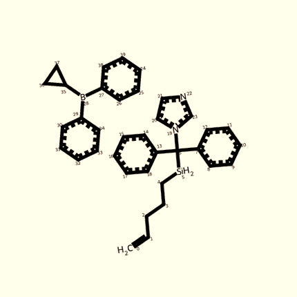 C=CCCC[SiH2]C(c1ccccc1)(c1ccccc1)n1ccnc1.c1ccc(B(c2ccccc2)C2CC2)cc1